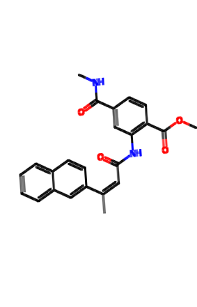 CNC(=O)c1ccc(C(=O)OC)c(NC(=O)/C=C(/C)c2ccc3ccccc3c2)c1